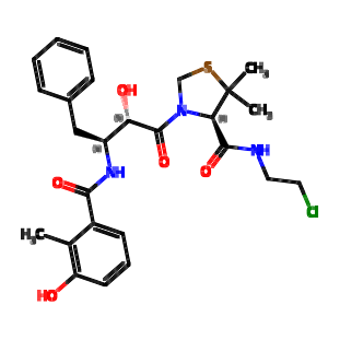 Cc1c(O)cccc1C(=O)N[C@@H](Cc1ccccc1)[C@H](O)C(=O)N1CSC(C)(C)[C@H]1C(=O)NCCCl